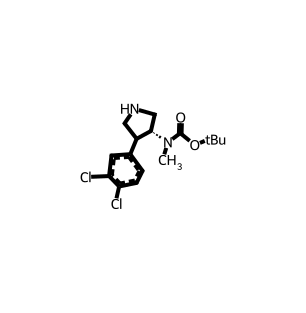 CN(C(=O)OC(C)(C)C)[C@H]1CNCC1c1ccc(Cl)c(Cl)c1